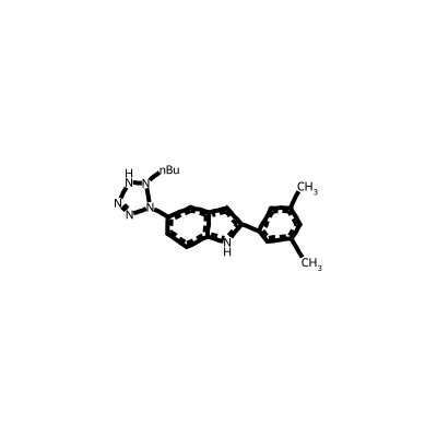 CCCCN1NN=NN1c1ccc2[nH]c(-c3cc(C)cc(C)c3)[c]c2c1